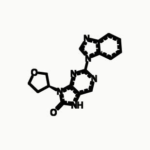 O=c1[nH]c2cnc(-n3cnc4ccccc43)nc2n1[C@H]1CCOC1